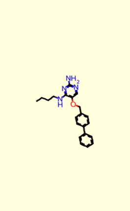 CCCCNc1nc(N)ncc1OCc1ccc(-c2ccccc2)cc1